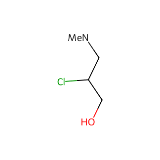 CNCC(Cl)CO